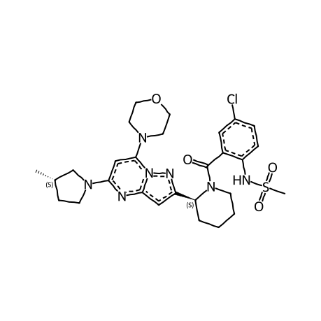 C[C@H]1CCN(c2cc(N3CCOCC3)n3nc([C@@H]4CCCCN4C(=O)c4cc(Cl)ccc4NS(C)(=O)=O)cc3n2)C1